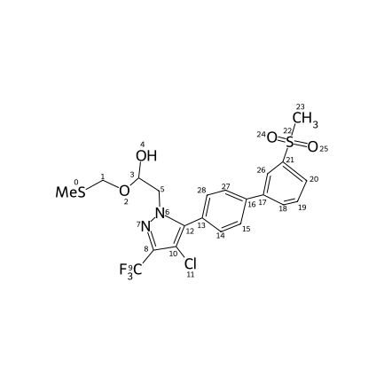 CSCOC(O)Cn1nc(C(F)(F)F)c(Cl)c1-c1ccc(-c2cccc(S(C)(=O)=O)c2)cc1